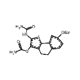 COc1ccc2c(c1)-c1sc(NC(N)=O)c(OC(N)=O)c1CC2